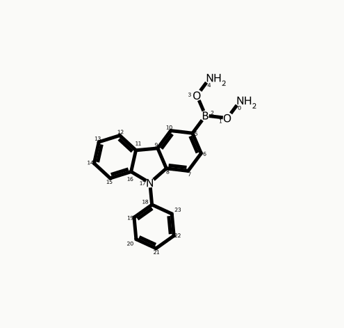 NOB(ON)c1ccc2c(c1)c1ccccc1n2-c1ccccc1